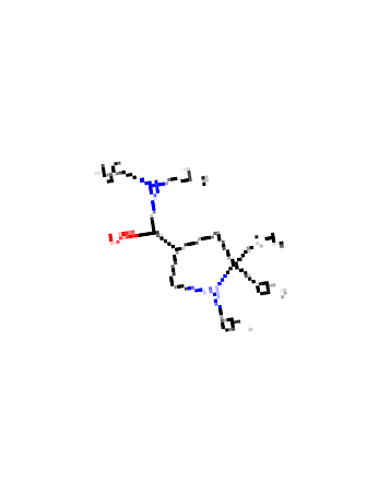 CN(C)C(=O)C1CN(C)C(C)(C)C1